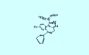 CCCCCCN(CCCCCC)c1nnc2n1-c1ccc(Cl)nc1C(c1ccccc1)=NC2